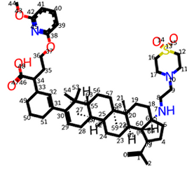 C=C(C)[C@@H]1CC[C@]2(NCCN3CCS(=O)(=O)CC3)CC[C@]3(C)[C@H](CC[C@@H]4[C@@]5(C)CC=C(C6=CC(C(CCOc7cccc(OC)n7)C(=O)O)CCC6)C(C)(C)[C@@H]5CC[C@]43C)[C@@H]12